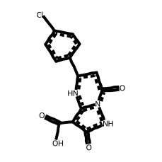 O=C(O)c1c(=O)[nH]n2c(=O)cc(-c3ccc(Cl)cc3)[nH]c12